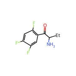 CCC(N)C(=O)c1cc(F)c(F)cc1F